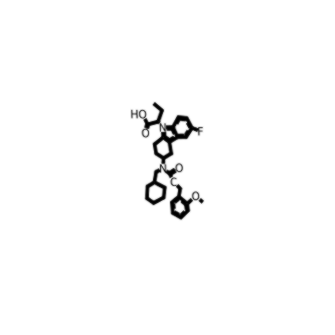 CCC(C(=O)O)n1c2c(c3cc(F)ccc31)CC(N(CC1CCCCC1)C(=O)CCc1ccccc1OC)CC2